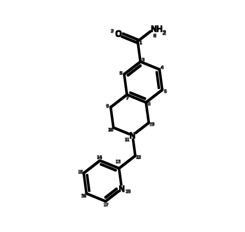 NC(=O)c1ccc2c(c1)CCN(Cc1ccccn1)C2